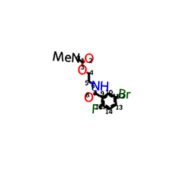 CNC(=O)OCCNC(=O)c1cc(Br)ccc1F